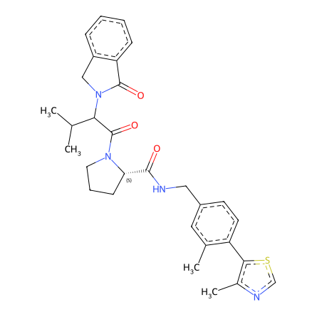 Cc1cc(CNC(=O)[C@@H]2CCCN2C(=O)C(C(C)C)N2Cc3ccccc3C2=O)ccc1-c1scnc1C